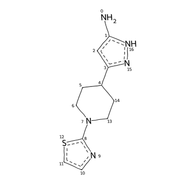 Nc1cc(C2CCN(c3nccs3)CC2)n[nH]1